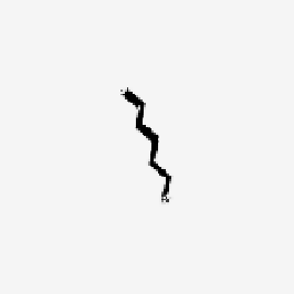 [CH]=CC=CCCBr